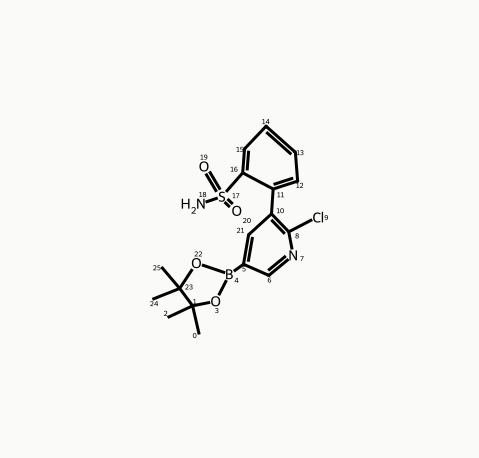 CC1(C)OB(c2cnc(Cl)c(-c3ccccc3S(N)(=O)=O)c2)OC1(C)C